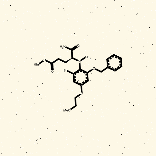 COCCOc1cc(Br)c(N(C)[C@@H](CCC(=O)OC(C)(C)C)C(N)=O)c(OCc2ccccc2)c1